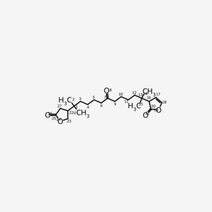 CC(C)(CCCCC(=O)CCCCC(C)(C)C1C=COC1=O)C1COC(=O)C1